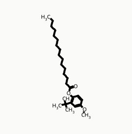 CCCCCCCCCCCCCCCC(=O)Oc1ccc(OC)cc1C(C)(C)C